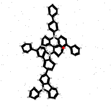 c1ccc(-c2ccc(N(c3ccc(-c4ccccc4)cc3)c3ccccc3-c3ccccc3-n3c4ccc(-c5ccccc5)cc4c4cc(-c5ccc6c(c5)c5ccccc5n6-c5ccccc5)ccc43)cc2)cc1